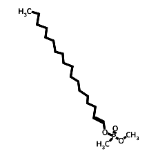 CCCCCCCCCCCCCCCCC=COP(C)(=O)OC